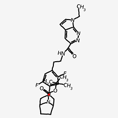 CCn1ccc2cc(C(=O)NCCc3cc(F)c(N4CC5CCC(C4)N5C(=O)OC(C)(C)C)cc3F)nnc21